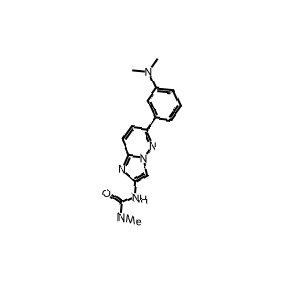 CNC(=O)Nc1cn2nc(-c3cccc(N(C)C)c3)ccc2n1